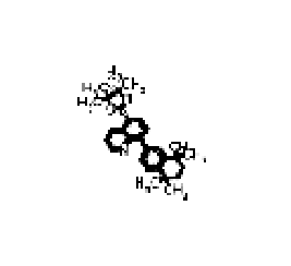 CC1(C)CCC(C)(C)c2cc(-c3ccc(B4OC(C)(C)C(C)(C)O4)c4cccnc34)ccc21